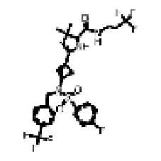 CC1(C)N=C(C23CC(N(Cc4ccc(C(F)(F)F)cc4)S(=O)(=O)c4ccc(F)cc4)(C2)C3)NC1C(=O)NCCC(F)(F)F